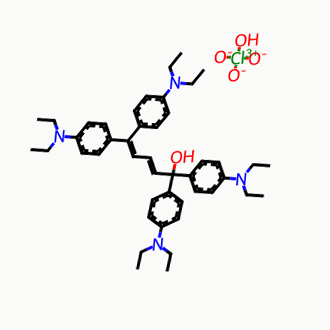 CCN(CC)c1ccc(C(=CC=CC(O)(c2ccc(N(CC)CC)cc2)c2ccc(N(CC)CC)cc2)c2ccc(N(CC)CC)cc2)cc1.[O-][Cl+3]([O-])([O-])O